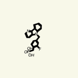 O=P(O)(O)Cc1ccc(Cn2c3ccccc3c3ncccc32)cc1F